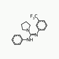 FC(F)(F)c1cccc(N=C(Nc2ccccc2)N2CCCC2)c1